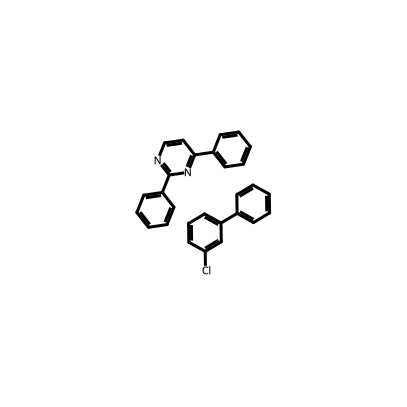 Clc1cccc(-c2ccccc2)c1.c1ccc(-c2ccnc(-c3ccccc3)n2)cc1